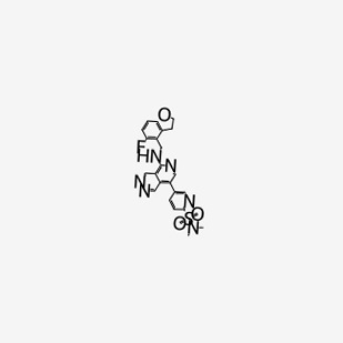 CN(C)S(=O)(=O)c1ccc(-c2cnc(NCc3c(F)ccc4c3CCO4)c3cnncc23)cn1